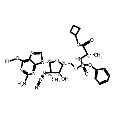 CCOc1nc(N)nc2c1ncn2[C@@H]1O[C@H](COP(=O)(N[C@@H](C)C(=O)OC2CCC2)Oc2ccccc2)[C@@H](O)[C@@]1(C)N=[N+]=[N-]